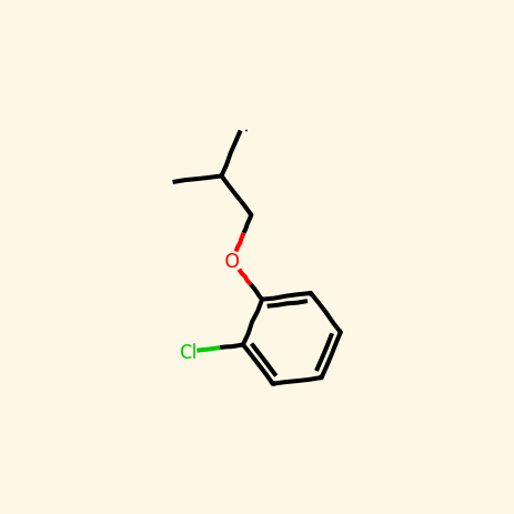 [CH2]C(C)COc1ccccc1Cl